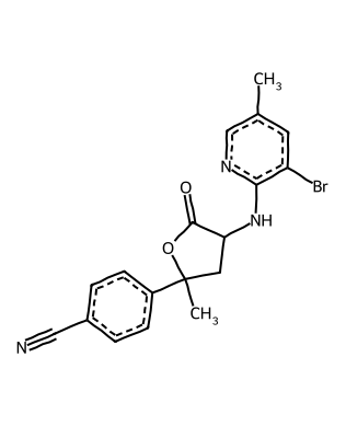 Cc1cnc(NC2CC(C)(c3ccc(C#N)cc3)OC2=O)c(Br)c1